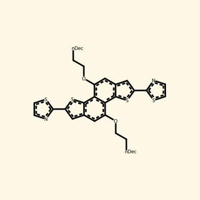 CCCCCCCCCCCCOc1cc2cc(-c3nccs3)sc2c2c(OCCCCCCCCCCCC)cc3cc(-c4nccs4)sc3c12